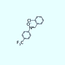 [O-][N+](=Cc1ccccc1Cl)c1ccc(C(F)(F)F)cc1